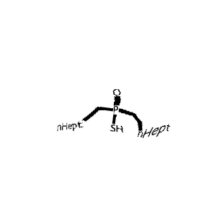 CCCCCCCCP(=O)(S)CCCCCCCC